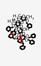 CC1[C@H](C)OC(C)[C@H](OCc2ccccc2)[C@@H]1O[C@@H]1OC(C)[C@H](OCc2ccccc2)[C@H](OCc2ccccc2)C1O[C@@H]1OC(C)[C@H](OCc2ccccc2)[C@H](O[C@H]2O[C@@H](COCc3ccccc3)[C@@H](OCc3ccccc3)C(OCc3ccccc3)C2OCc2ccccc2)C1O